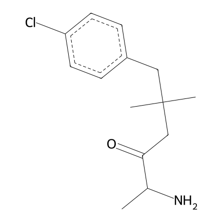 CC(N)C(=O)CC(C)(C)Cc1ccc(Cl)cc1